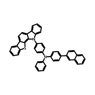 c1ccc(N(c2ccc(-c3ccc4ccccc4c3)cc2)c2ccc(-n3c4ccccc4c4ccc5c6ccccc6sc5c43)cc2)cc1